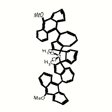 COc1c2ccccc2c(C2C=CC=CC3=C2C=C(C)[C]32c3ccccc3[C]3(C(C)=CC4=C3C=CC=CC4c3c4ccccc4c(OC)c4ccccc34)[Zr]2([Cl])[Cl])c2ccccc12